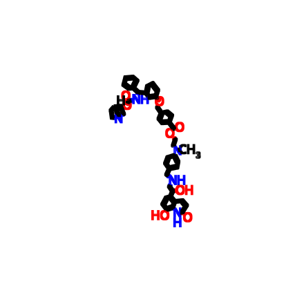 CN(CCOC(=O)c1ccc(COc2cccc(C(NC(=O)O[C@H]3CN4CCC3CC4)c3ccccc3)c2)cc1)c1ccc(CNCC(O)c2ccc(O)c3[nH]c(=O)ccc23)cc1